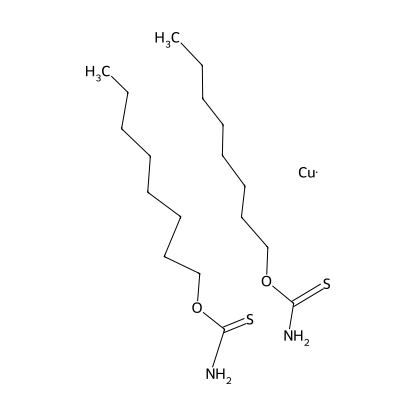 CCCCCCCCOC(N)=S.CCCCCCCCOC(N)=S.[Cu]